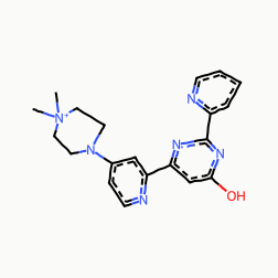 C[N+]1(C)CCN(c2ccnc(-c3cc(O)nc(-c4ccccn4)n3)c2)CC1